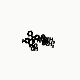 CN(C)S(=O)(=O)NC(=O)c1ccc2c(C3CCCCC3)c3n(c2c1)CC1(C(=O)O)CC1c1cc(I)ccc1-3